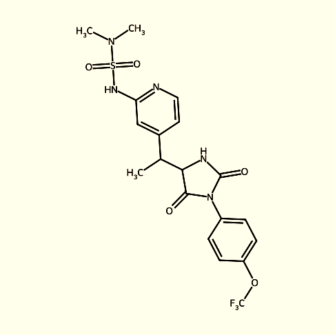 CC(c1ccnc(NS(=O)(=O)N(C)C)c1)C1NC(=O)N(c2ccc(OC(F)(F)F)cc2)C1=O